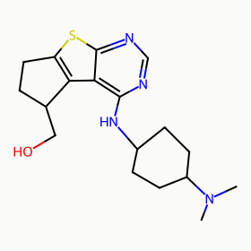 CN(C)C1CCC(Nc2ncnc3sc4c(c23)C(CO)CC4)CC1